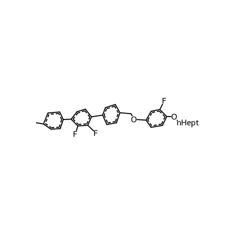 CCCCCCCOc1ccc(OCc2ccc(-c3ccc(-c4ccc(C)cc4)c(F)c3F)cc2)cc1F